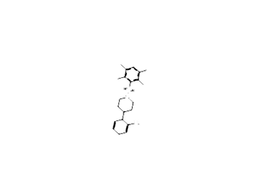 Cc1cc(C)c(C)c(S(=O)(=O)N2CCC(C3C=CCC=C3Br)CC2)c1C